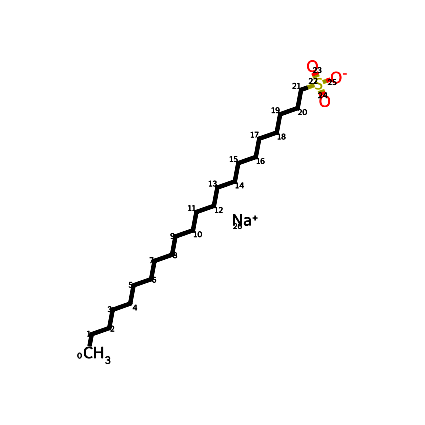 CCCCCCCCCCCCCCCCCCCCCCS(=O)(=O)[O-].[Na+]